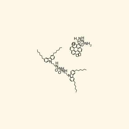 CCCCCCc1ccc2c(c1)c1cc(CCCCCC)ccc1n2CCCNC(=O)NC(=O)NCCCn1c2ccc(CCCCCC)cc2c2cc(CCCCCC)ccc21.Clc1ccc2ccc(Cl)c3c4c(Cl)ccc5ccc(Cl)c(c1c23)c54.NC(=O)NC(N)=O